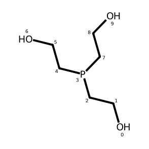 OCCP(CCO)CCO